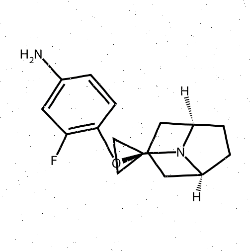 Nc1ccc(O[C@H]2C[C@H]3CC[C@@H](C2)N3C2CC2)c(F)c1